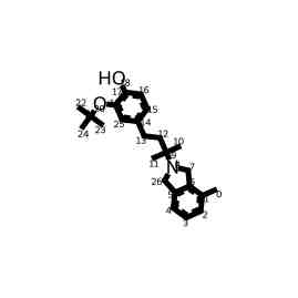 Cc1cccc2c1CN(C(C)(C)CCc1ccc(O)c(OC(C)(C)C)c1)C2